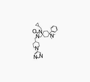 CN(C)C1(c2ccccc2)CCC2(CC1)CN(CC1CCN(c3cncnc3)CC1)C(=O)N2CC1CC1